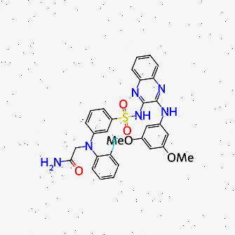 COc1cc(Nc2nc3ccccc3nc2NS(=O)(=O)c2cccc(N(CC(N)=O)c3ccccc3F)c2)cc(OC)c1